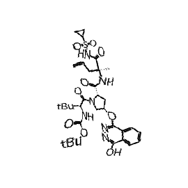 C=CC[C@](C)(NC(=O)[C@@H]1C[C@@H](Oc2nnc(O)c3ccccc23)CN1C(=O)[C@@H](NC(=O)OC(C)(C)C)C(C)(C)C)C(=O)NS(=O)(=O)C1CC1